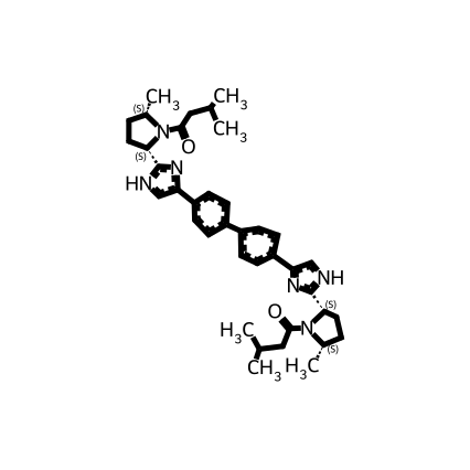 CC(C)CC(=O)N1[C@@H](C)CC[C@H]1c1nc(-c2ccc(-c3ccc(-c4c[nH]c([C@@H]5CC[C@H](C)N5C(=O)CC(C)C)n4)cc3)cc2)c[nH]1